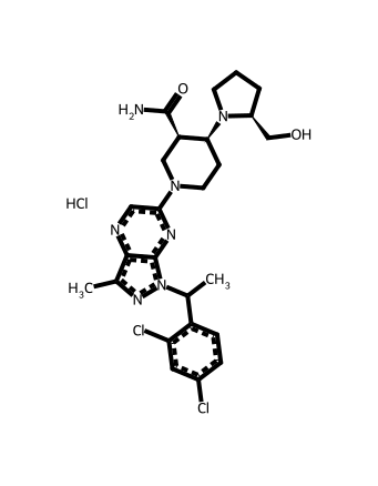 Cc1nn(C(C)c2ccc(Cl)cc2Cl)c2nc(N3CC[C@H](N4CCC[C@H]4CO)[C@H](C(N)=O)C3)cnc12.Cl